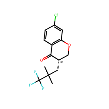 CC(C)(C[C@H]1COc2cc(Cl)ccc2C1=O)C(F)(F)F